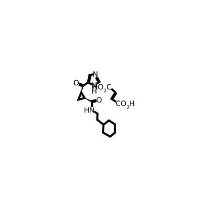 O=C(NCCC1CCCCC1)[C@H]1C[C@H]1C(=O)c1cnc[nH]1.O=C(O)C=CC(=O)O